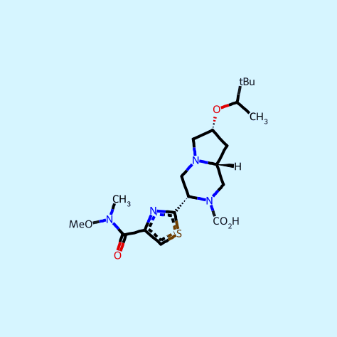 CON(C)C(=O)c1csc([C@@H]2CN3C[C@H](OC(C)C(C)(C)C)C[C@@H]3CN2C(=O)O)n1